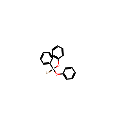 Br[Si](Oc1ccccc1)(Oc1ccccc1)c1ccccc1